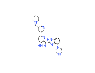 CN1CCN(c2cccc3[nH]c(-c4n[nH]c5ccc(-c6cncc(CN7CCCCC7)c6)nc45)nc23)CC1